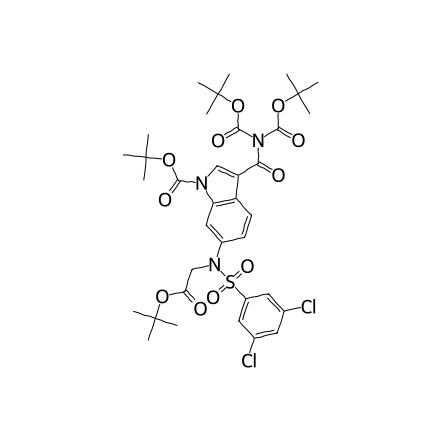 CC(C)(C)OC(=O)CN(c1ccc2c(C(=O)N(C(=O)OC(C)(C)C)C(=O)OC(C)(C)C)cn(C(=O)OC(C)(C)C)c2c1)S(=O)(=O)c1cc(Cl)cc(Cl)c1